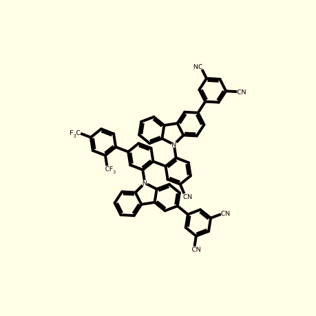 N#Cc1cc(C#N)cc(-c2ccc3c(c2)c2ccccc2n3-c2ccc(C#N)cc2-c2ccc(-c3ccc(C(F)(F)F)cc3C(F)(F)F)cc2-n2c3ccccc3c3cc(-c4cc(C#N)cc(C#N)c4)ccc32)c1